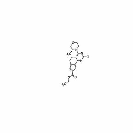 CCOC(=O)c1cc2n(n1)CCc1c-2nc(Cl)nc1N1CCOC[C@@H]1C